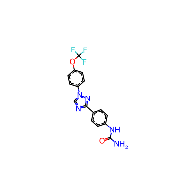 NC(=O)Nc1ccc(-c2ncn(-c3ccc(OC(F)(F)F)cc3)n2)cc1